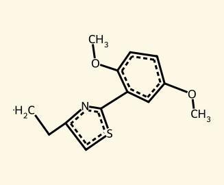 [CH2]Cc1csc(-c2cc(OC)ccc2OC)n1